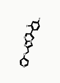 Fc1ccc(-c2cnc3nc(COc4ccncc4)cn3c2)c(F)c1